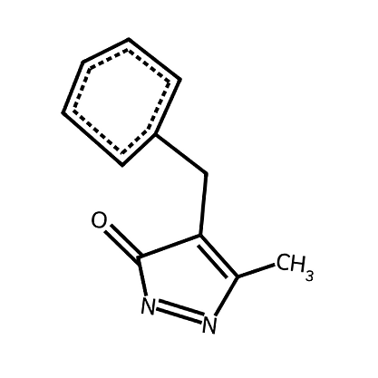 CC1=C(Cc2ccccc2)C(=O)N=N1